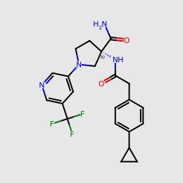 NC(=O)[C@]1(NC(=O)Cc2ccc(C3CC3)cc2)CCN(c2cncc(C(F)(F)F)c2)C1